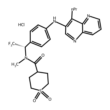 CCCc1c(Nc2ccc([C@H](N(C)C(=O)C3CCS(=O)(=O)CC3)C(F)(F)F)cc2)cnc2cccnc12.Cl